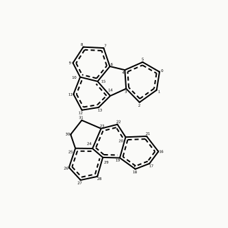 c1ccc2c(c1)-c1cccc3cccc-2c13.c1ccc2c(c1)cc1c3c(cccc32)CC1